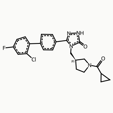 O=C(C1CC1)N1CC[C@@H](Cn2c(-c3ccc(-c4ccc(F)cc4Cl)cc3)n[nH]c2=O)C1